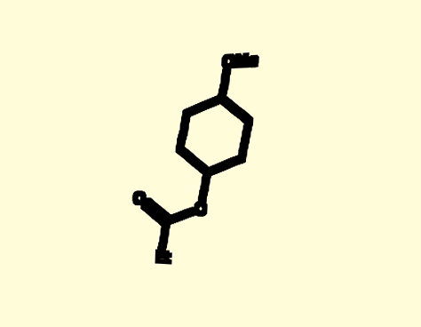 CCC(=O)OC1CCC(OC)CC1